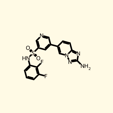 Nc1nc2ccc(-c3cncc(S(=O)(=O)Nc4cccc(F)c4F)c3)cn2n1